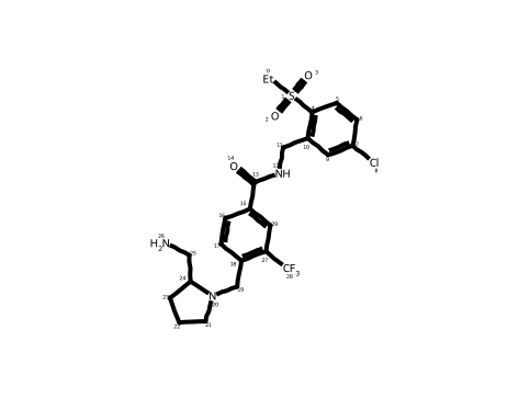 CCS(=O)(=O)c1ccc(Cl)cc1CNC(=O)c1ccc(CN2CCCC2CN)c(C(F)(F)F)c1